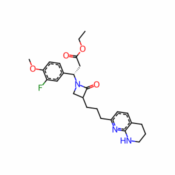 CCOC(=O)C[C@@H](c1ccc(OC)c(F)c1)N1CC(CCCc2ccc3c(n2)NCCC3)C1=O